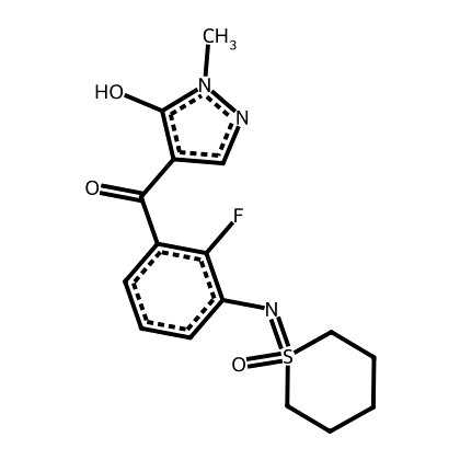 Cn1ncc(C(=O)c2cccc(N=S3(=O)CCCCC3)c2F)c1O